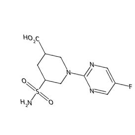 NS(=O)(=O)C1CC(C(=O)O)CN(c2ncc(F)cn2)C1